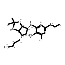 CCSc1nc(Cl)c(N)c(N[C@@H]2C[C@H](OCCO)C3OC(C)(C)OC32)n1